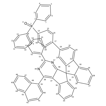 O=P(c1ccccc1)(c1ccccc1)c1ccc(-c2ccc3c(c2)C2(c4ccccc4-3)c3ccccc3-c3c(-c4cccc5ccccc45)nc(-c4ccccc4)nc32)cc1